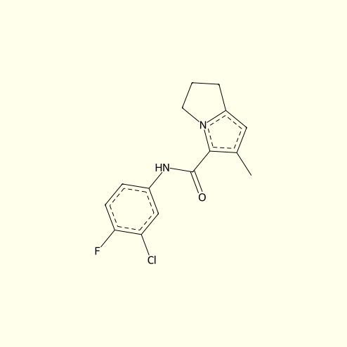 Cc1cc2n(c1C(=O)Nc1ccc(F)c(Cl)c1)CCC2